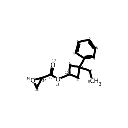 CCC1(c2ccccc2)CC(OC(=O)C2CO2)C1